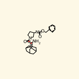 NC(=O)C12CC3CC(C1)C(OC(=O)N1CCC(NC(=O)OCc4ccccc4)C1)C(C3)C2